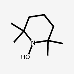 CC1(C)CCCC(C)(C)N1O